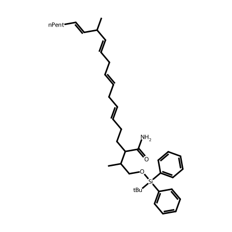 CCCCCC=CC(C)C=CCC=CCC=CCCC(C(N)=O)C(C)CO[Si](c1ccccc1)(c1ccccc1)C(C)(C)C